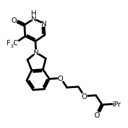 CC(C)C(=O)COCCOc1cccc2c1CN(c1cn[nH]c(=O)c1C(F)(F)F)C2